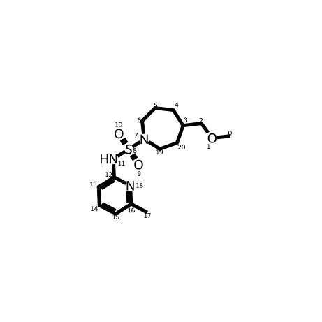 COCC1CCCN(S(=O)(=O)Nc2cccc(C)n2)CC1